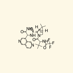 CC(C)(C)C(NC(=O)C(F)(F)F)C(=O)N1C[C@H]2[C@@H]([C@H]1C(=O)NC(C(N)=O)c1cncc3ccncc13)C2(C)C